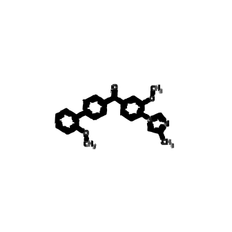 COc1ccccc1-c1ccc(C(=O)c2ccc(-n3cnc(C)c3)c(OC)c2)cc1